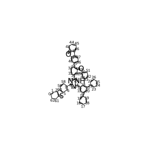 C1=Cc2c(sc3cc(C4=NC(c5cc(-c6ccccc6)cc(-c6ccccc6)c5)NC(c5ccc(-c6ccc7c(c6)oc6ccccc67)c6oc7ccccc7c56)=N4)ccc23)CC1